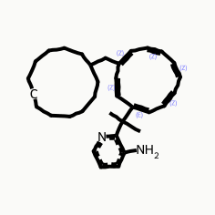 CC(C)(C1=C/C=C\C=C/C=C\C=C(CC2CCCCCCCCCCCC2)/C=C\1)c1ncccc1N